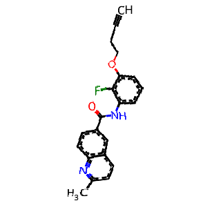 C#CCCOc1cccc(NC(=O)c2ccc3nc(C)ccc3c2)c1F